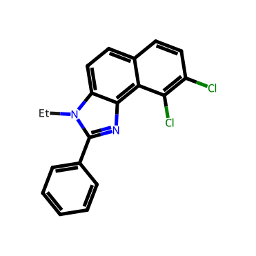 CCn1c(-c2ccccc2)nc2c3c(Cl)c(Cl)ccc3ccc21